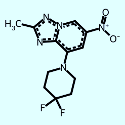 Cc1nc2c(N3CCC(F)(F)CC3)cc([N+](=O)[O-])cn2n1